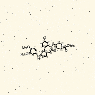 COc1ccc(Nc2ncc3c(n2)-c2ccc(Cl)cc2N(CC2CCN(C(=O)OC(C)(C)C)CC2)C(=O)C3)cc1OC